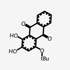 CC(C)(C)Oc1cc(O)c(O)c2c1C(=O)c1ccccc1C2=O